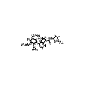 COc1cc(-c2ncnc3c(C(=O)N[C@@H]4CCN(C(C)=O)C4)c[nH]c23)c(C2CC2)c(OC)c1F